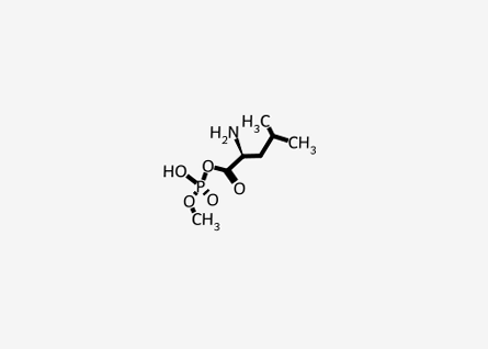 COP(=O)(O)OC(=O)[C@@H](N)CC(C)C